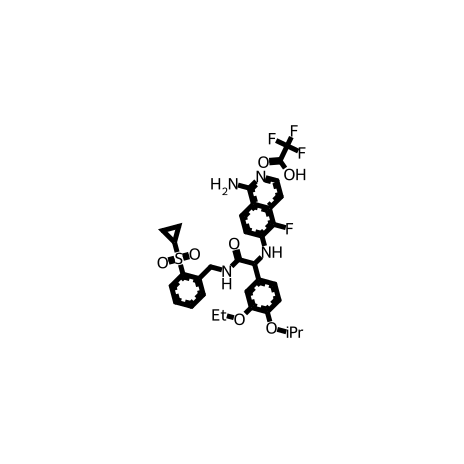 CCOc1cc(C(Nc2ccc3c(N)nccc3c2F)C(=O)NCc2ccccc2S(=O)(=O)C2CC2)ccc1OC(C)C.O=C(O)C(F)(F)F